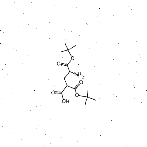 CC(C)(C)OC(=O)C(N)CC(C(=O)O)C(=O)OC(C)(C)C